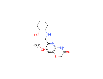 O=C(O)O.O=C1COc2ccc(CN[C@H]3CCCC[C@H]3O)nc2N1